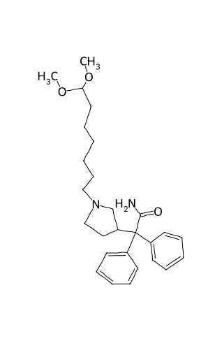 COC(CCCCCCN1CCC(C(C(N)=O)(c2ccccc2)c2ccccc2)C1)OC